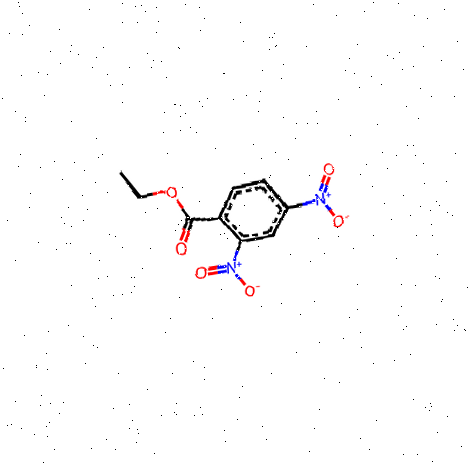 CCOC(=O)c1ccc([N+](=O)[O-])cc1[N+](=O)[O-]